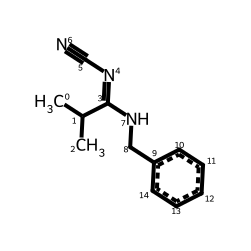 CC(C)/C(=N\C#N)NCc1ccccc1